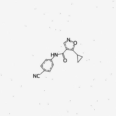 N#Cc1ccc(NC(=O)c2cnoc2C2CC2)cc1